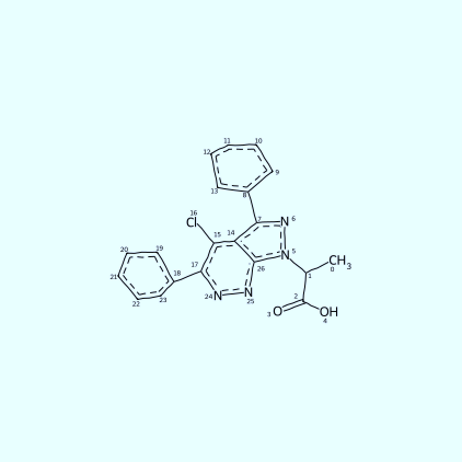 CC(C(=O)O)n1nc(-c2ccccc2)c2c(Cl)c(-c3ccccc3)nnc21